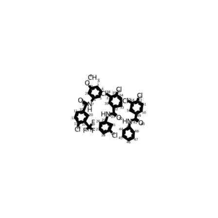 COc1cccc(NC(=O)c2ccc(Cl)c(C(F)(F)F)c2)c1.O=C(Nc1cccc(Cl)c1)c1ccc(Cl)c(Cl)c1.O=C(Nc1ccccc1)c1ccc(Cl)c(Cl)c1